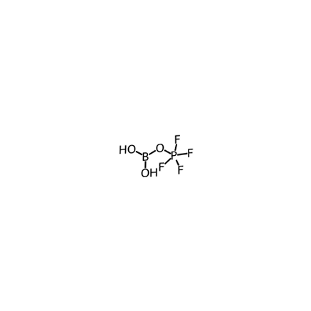 OB(O)OP(F)(F)(F)F